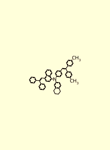 Cc1ccc(C(=Cc2ccc(N(c3ccc4c(c3)CCCC4)c3ccc(C=C(c4ccccc4)c4ccccc4)c4ccccc34)cc2)c2ccc(C)cc2)cc1